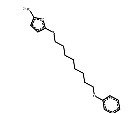 O=Cc1ccc(SCCCCCCCCOc2ccccc2)o1